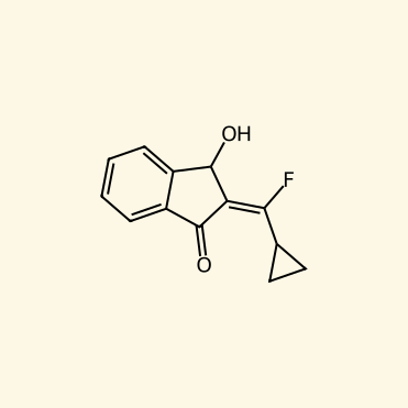 O=C1/C(=C(/F)C2CC2)C(O)c2ccccc21